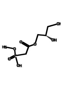 O=C(CP(=O)(O)OS)OC[C@@H](O)CO